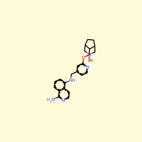 CC(C)N1CC2CCC(C1)C2COc1cc(CNc2cccc3c(N)nccc23)ccn1